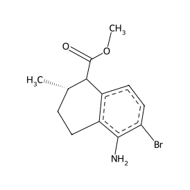 COC(=O)C1c2ccc(Br)c(N)c2CC[C@@H]1C